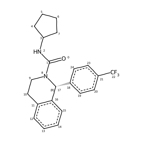 O=C(NC1CCCC1)N1CCc2ccccc2[C@H]1c1ccc(C(F)(F)F)cc1